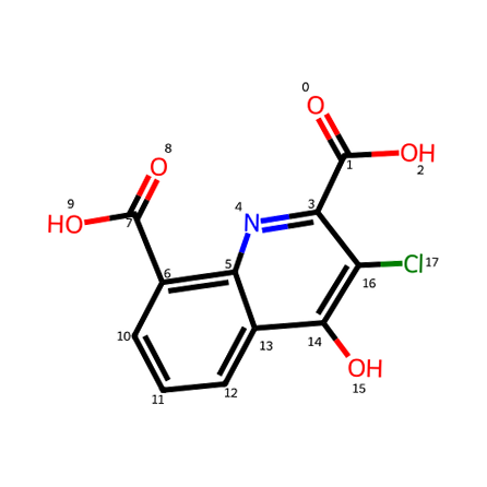 O=C(O)c1nc2c(C(=O)O)cccc2c(O)c1Cl